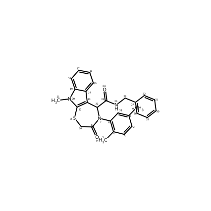 Cc1ccc(C)c(N2C(=O)CSc3c(c4ccccc4n3C)C2C(=O)NCc2ccccc2)c1